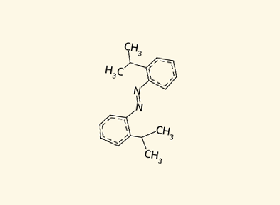 CC(C)c1ccccc1N=Nc1ccccc1C(C)C